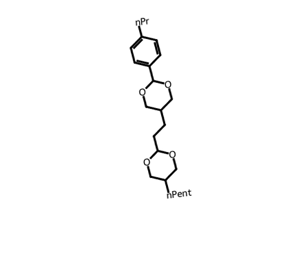 CCCCCC1COC(CCC2COC(c3ccc(CCC)cc3)OC2)OC1